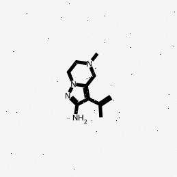 C=C(C)c1c(N)nn2c1CN(C)CC2